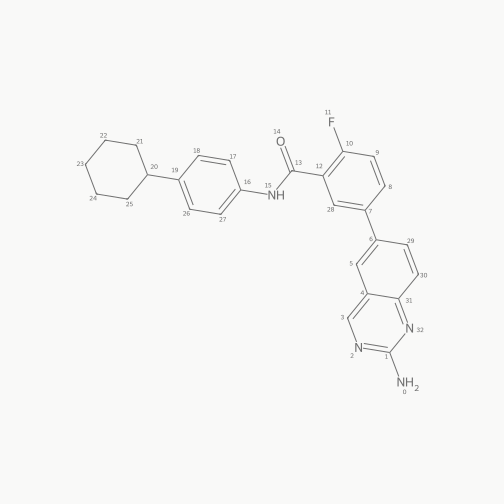 Nc1ncc2cc(-c3ccc(F)c(C(=O)Nc4ccc(C5CCCCC5)cc4)c3)ccc2n1